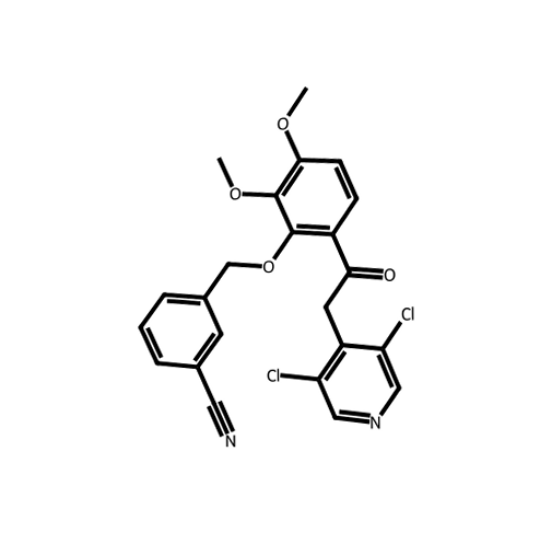 COc1ccc(C(=O)Cc2c(Cl)cncc2Cl)c(OCc2cccc(C#N)c2)c1OC